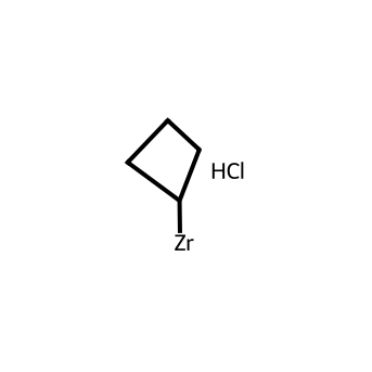 Cl.[Zr][CH]1CCC1